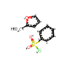 CCOC(=O)c1ccco1.O=S(=O)(Cl)c1ccccc1